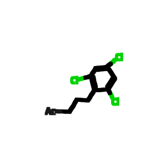 CC(=O)CCCc1c(Cl)cc(Cl)cc1Cl